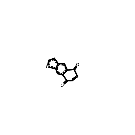 O=C1C=CC(=O)c2cc3occc3cc21